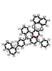 c1ccc(-c2ccc(N(c3ccc(-c4cccc5ccccc45)cc3)c3ccccc3-c3cccc4c3Oc3cccc5cccc(c35)O4)cc2)cc1